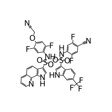 N#CCOc1cc(F)c(NS(=O)(=O)c2c[nH]c3c2ccc2cccnc23)cc1F.N#Cc1cc(F)c(NS(=O)(=O)c2c[nH]c3cc(C(F)(F)F)ccc23)cc1F